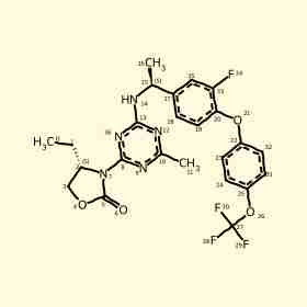 CC[C@H]1COC(=O)N1c1nc(C)nc(N[C@@H](C)c2ccc(Oc3ccc(OC(F)(F)F)cc3)c(F)c2)n1